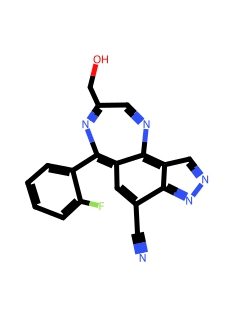 N#Cc1cc2c(-c3ccccc3F)nc(CO)cnc2c2cnnc12